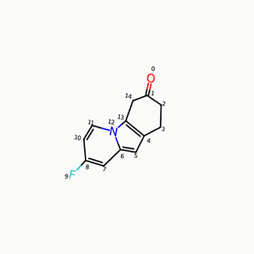 O=C1CCc2cc3cc(F)ccn3c2C1